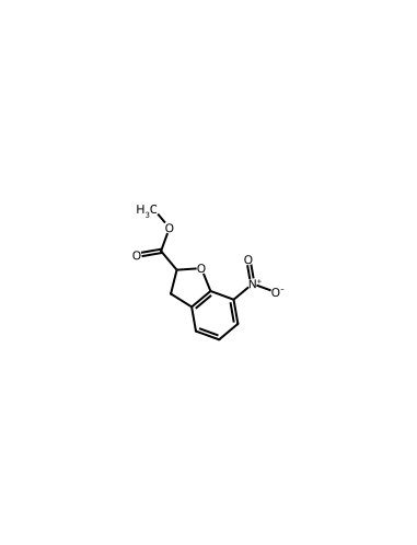 COC(=O)C1Cc2cccc([N+](=O)[O-])c2O1